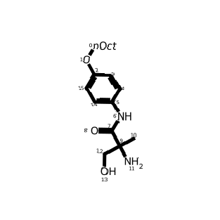 CCCCCCCCOc1ccc(NC(=O)C(C)(N)CO)cc1